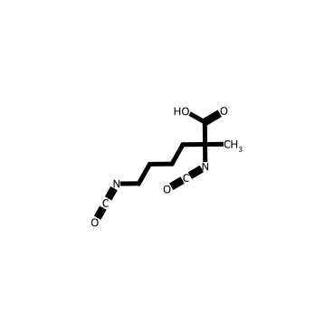 CC(CCCCN=C=O)(N=C=O)C(=O)O